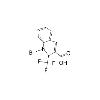 O=C(O)C1=Cc2ccccc2N(Br)C1C(F)(F)F